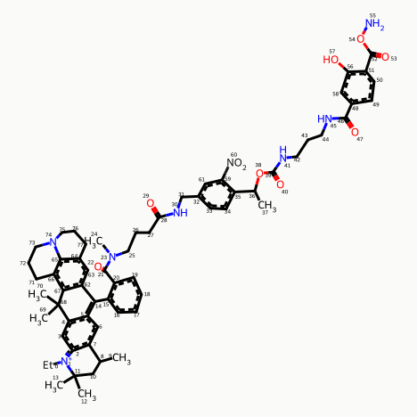 CC[N+]1=c2cc3c(cc2C(C)CC1(C)C)=C(c1ccccc1C(=O)N(C)CCCC(=O)NCc1ccc(C(C)OC(=O)NCCCNC(=O)c2ccc(C(=O)ON)c(O)c2)c([N+](=O)[O-])c1)c1cc2c4c(c1C3(C)C)CCCN4CCC2